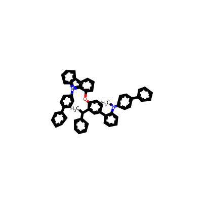 CC(c1ccccc1)c1cc(-c2ccccc2N(C)c2ccc(-c3ccccc3)cc2)ccc1Oc1cccc2c3ccccc3n(-c3ccc(-c4ccccc4)cc3)c12